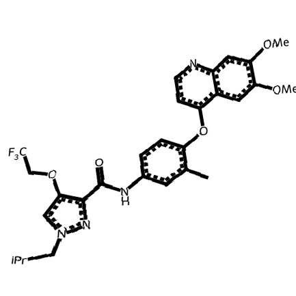 COc1cc2nccc(Oc3ccc(NC(=O)c4nn(CC(C)C)cc4OCC(F)(F)F)cc3C)c2cc1OC